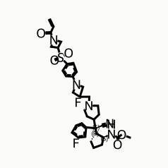 C=CC(=O)N1CC(S(=O)(=O)c2ccc(N3CC(F)(CN4CCC([C@@](C#N)(c5cccc(F)c5)[C@H]5CCC[C@@H]5NC(=O)OC)CC4)C3)cc2)C1